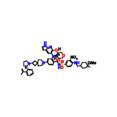 C=C(C)c1ccccc1[C@@H]1CCCN1C1CC2(CCN(c3ccc(C(=O)NS(=O)(=O)c4ccc(NCC5CCC(C)(OC)CC5)c([N+](=O)[O-])c4)c(N4c5cc6cc[nH]c6nc5O[C@H]5COCC[C@@H]54)c3)CC2)C1